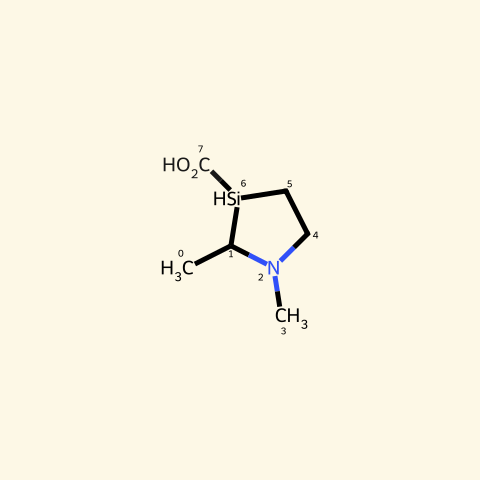 CC1N(C)CC[SiH]1C(=O)O